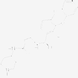 CC[C@@H](N[C@@H](C)CC(=O)NC1CCNCC1)c1ccc(Cl)c(Oc2ccccc2)c1F